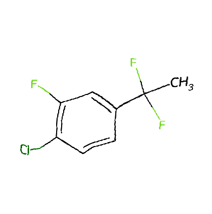 CC(F)(F)c1ccc(Cl)c(F)c1